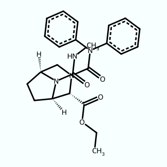 CCOC(=O)[C@@H]1[C@H]2CC[C@@H](CN1C(=O)N(c1ccccc1)c1ccccc1)N2C(=O)NC